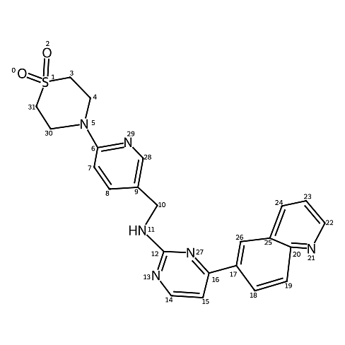 O=S1(=O)CCN(c2ccc(CNc3nccc(-c4ccc5ncccc5c4)n3)cn2)CC1